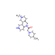 CC1CCN(CC(=O)N(CC2CCN(C)CC2)C2CCNCC2)CC1